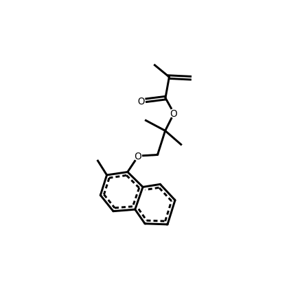 C=C(C)C(=O)OC(C)(C)COc1c(C)ccc2ccccc12